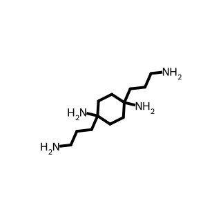 NCCCC1(N)CCC(N)(CCCN)CC1